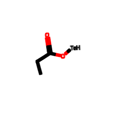 CCC(=O)O[TeH]